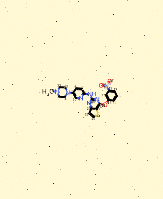 CN1CCN(c2ccc(Nc3nc(Oc4cccc([N+](=O)[O-])c4)c4sccc4n3)nc2)CC1